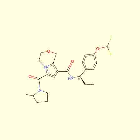 CC[C@@H](NC(=O)c1cc(C(=O)N2CCCC2C)n2c1COCC2)c1ccc(OC(F)F)cc1